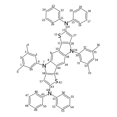 Cc1cc(C)cc(-n2c3cc4c5sc(N(c6ccccc6)c6ccccc6)cc5n(-c5cc(C)cc(C)c5)c4cc3c3sc(N(c4ccccc4)c4ccccc4)cc32)c1